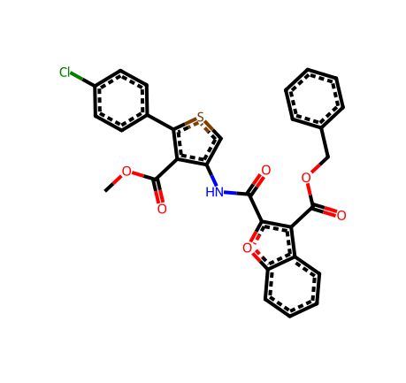 COC(=O)c1c(NC(=O)c2oc3ccccc3c2C(=O)OCc2ccccc2)csc1-c1ccc(Cl)cc1